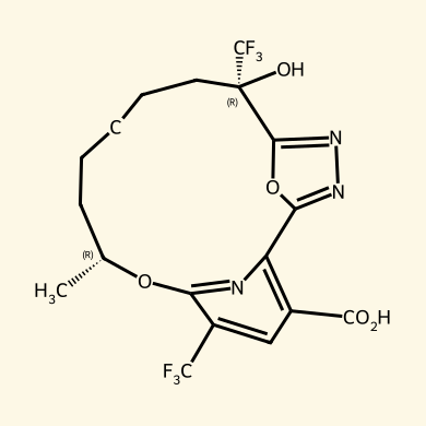 C[C@@H]1CCCCC[C@](O)(C(F)(F)F)c2nnc(o2)-c2nc(c(C(F)(F)F)cc2C(=O)O)O1